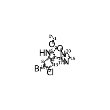 CCOC(=O)c1[nH]c2cc(Br)c(Cl)cc2c1-c1cnccn1